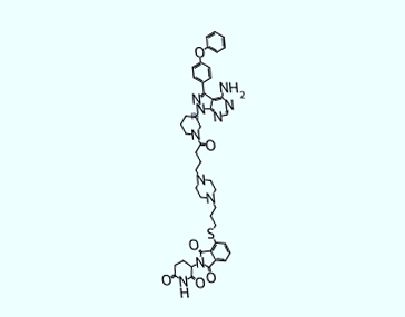 Nc1ncnc2c1c(-c1ccc(Oc3ccccc3)cc1)nn2[C@@H]1CCCN(C(=O)CCCN2CCN(CCCSc3cccc4c3C(=O)N(C3CCC(=O)NC3=O)C4=O)CC2)C1